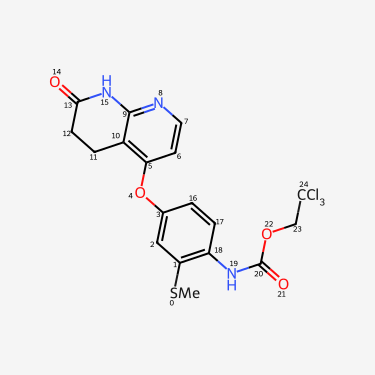 CSc1cc(Oc2ccnc3c2CCC(=O)N3)ccc1NC(=O)OCC(Cl)(Cl)Cl